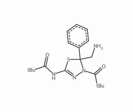 CC(C)(C)C(=O)NC1=NN(C(=O)C(C)(C)C)C(CN)(c2ccccc2)S1